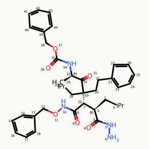 CC(C)C[C@@H](C(=O)NN)[C@H](C(=O)NOCc1ccccc1)C(CCc1ccccc1)(CC(C)C)C(=O)[C@@H](C)NC(=O)OCc1ccccc1